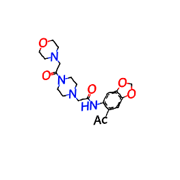 CC(=O)c1cc2c(cc1NC(=O)CN1CCN(C(=O)CN3CCOCC3)CC1)OCO2